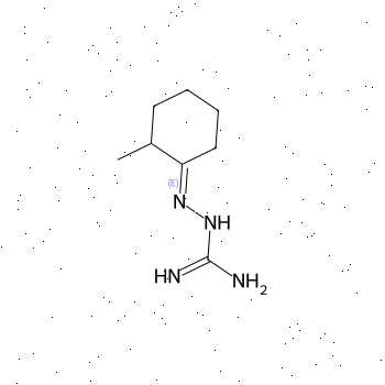 CC1CCCC/C1=N\NC(=N)N